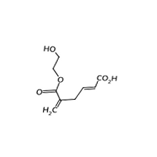 C=C(CC=CC(=O)O)C(=O)OCCO